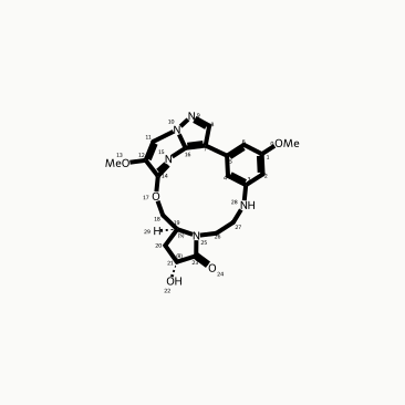 COc1cc2cc(c1)-c1cnn3cc(OC)c(nc13)OC[C@@H]1C[C@@H](O)C(=O)N1CCN2